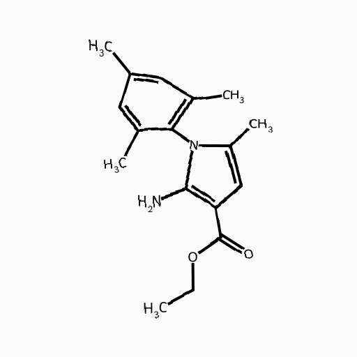 CCOC(=O)c1cc(C)n(-c2c(C)cc(C)cc2C)c1N